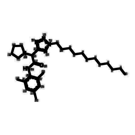 CCCCCCCCCCCCn1nnc(C(C(=O)Nc2c(C)cc(C)cc2C)N2CCCC2)n1